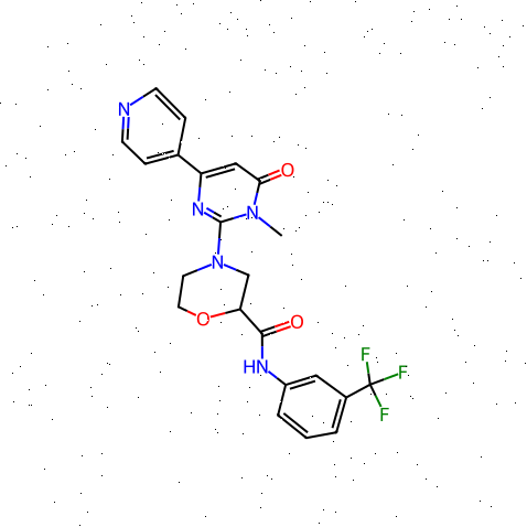 Cn1c(N2CCOC(C(=O)Nc3cccc(C(F)(F)F)c3)C2)nc(-c2ccncc2)cc1=O